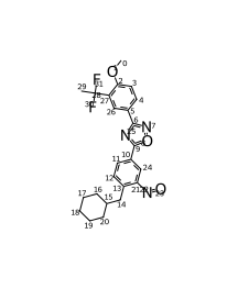 COc1ccc(-c2noc(-c3ccc(CC4CCCCC4)c(N=O)c3)n2)cc1C(C)(F)F